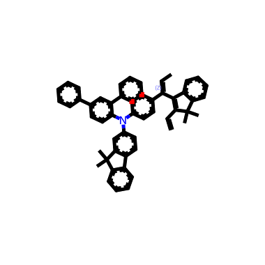 C=CC1=C(/C(=C\C)c2ccc(N(c3ccc4c(c3)C(C)(C)c3ccccc3-4)c3ccc(-c4ccccc4)cc3-c3ccccc3)cc2)c2ccccc2C1(C)C